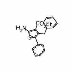 CCOC(=O)c1c(N)sc(-c2ccccc2)c1CC1C=CC=CC1